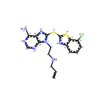 C=CCNCCn1c(Sc2nc3cccc(Cl)c3s2)nc2c(N)ncnc21